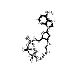 [N-]=[N+]=NCOC1CC(n2cnc3c(N)ccnc32)OC1COP(=O)(O)OP(=O)(O)OP(=O)(O)O